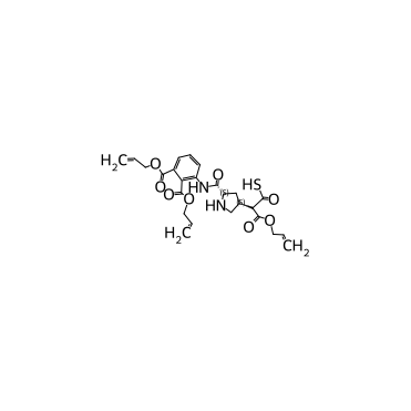 C=CCOC(=O)c1cccc(NC(=O)[C@@H]2C[C@@H](C(C(=O)S)C(=O)OCC=C)CN2)c1C(=O)OCC=C